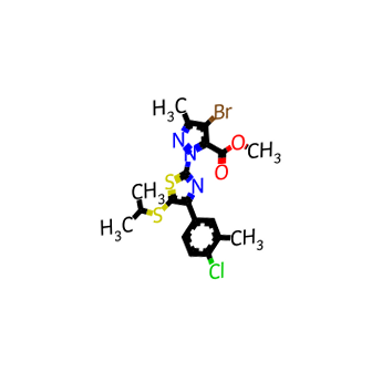 COC(=O)c1c(Br)c(C)nn1-c1nc(-c2ccc(Cl)c(C)c2)c(SC(C)C)s1